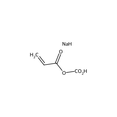 C=CC(=O)OC(=O)O.[NaH]